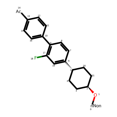 CCCCCCCCCO[C@H]1CC[C@H](c2ccc(-c3ccc(C(C)=O)cc3)c(F)c2)CC1